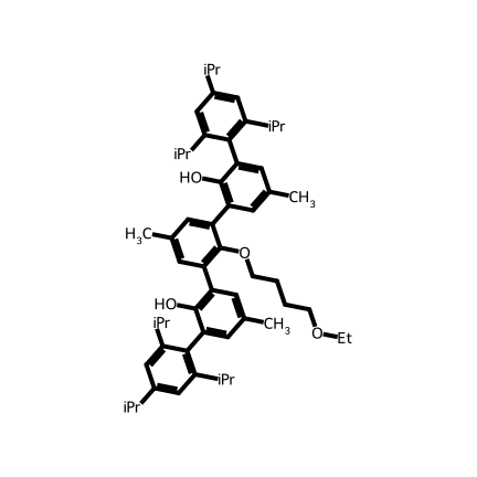 CCOCCCCOc1c(-c2cc(C)cc(-c3c(C(C)C)cc(C(C)C)cc3C(C)C)c2O)cc(C)cc1-c1cc(C)cc(-c2c(C(C)C)cc(C(C)C)cc2C(C)C)c1O